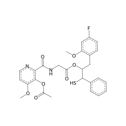 COc1cc(F)ccc1CC(OC(=O)CNC(=O)c1nccc(OC)c1OC(C)=O)C(S)c1ccccc1